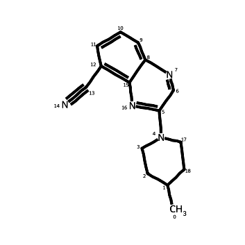 CC1CCN(c2cnc3cccc(C#N)c3n2)CC1